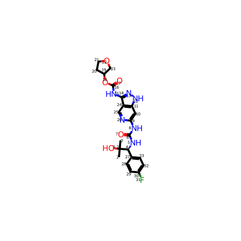 CC(C)(O)[C@@H](NC(=O)Nc1cc2[nH]nc(NC(=O)OC3CCOC3)c2cn1)c1ccc(F)cc1